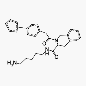 NCCCCCNC(=O)C1Cc2ccccc2CN1C(=O)Cc1ccc(-c2ccccc2)cc1